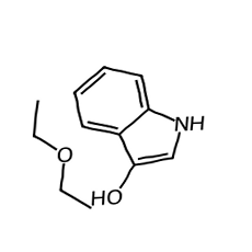 CCOCC.Oc1c[nH]c2ccccc12